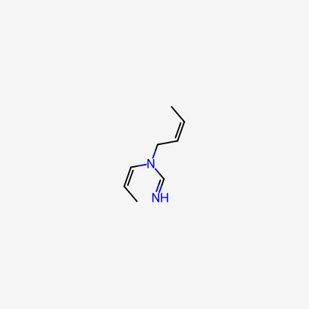 C/C=C\CN(C=N)/C=C\C